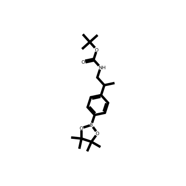 CC(CNC(=O)OC(C)(C)C)c1ccc(B2OC(C)(C)C(C)(C)O2)cc1